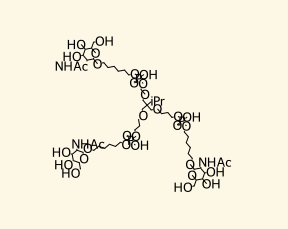 CC(=O)NC1C(OCCCCCCOP(=O)(O)OCCCOCC(COCCCOP(=O)(O)OCCCCCCOC2OC(CO)C(O)C(O)C2NC(C)=O)(COCOP(=O)(O)OCCCCCCOC2OC(CO)C(O)C(O)C2NC(C)=O)C(C)C)OC(CO)C(O)C1O